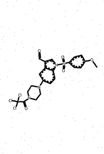 COc1ccc(S(=O)(=O)n2cc(C=O)c3cc(N4CCN(C(=O)C(Cl)(Cl)Cl)CC4)ccc32)cc1